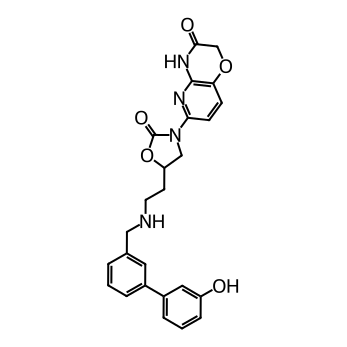 O=C1COc2ccc(N3CC(CCNCc4cccc(-c5cccc(O)c5)c4)OC3=O)nc2N1